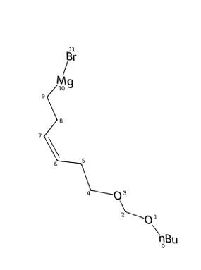 CCCCOCOCC/C=C\C[CH2][Mg][Br]